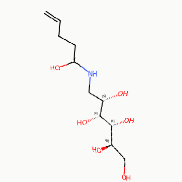 C=CCCC(O)NC[C@H](O)[C@@H](O)[C@H](O)[C@H](O)CO